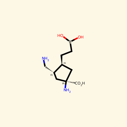 NC[C@H]1C[C@@](N)(C(=O)O)C[C@@H]1CCB(O)O